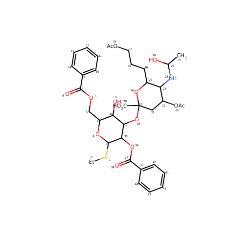 CCSC1OC(COC(=O)c2ccccc2)C(O)C(OC2(C(=O)O)CC(OC(C)=O)C(NC(C)O)C(CCCOC(C)=O)O2)C1OC(=O)c1ccccc1